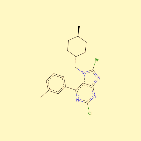 Cc1cccc(-c2nc(Cl)nc3nc(Br)n(C[C@H]4CC[C@H](C)CC4)c23)c1